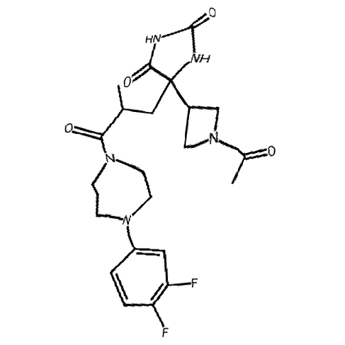 CC(=O)N1CC(C2(CC(C)C(=O)N3CCN(c4ccc(F)c(F)c4)CC3)NC(=O)NC2=O)C1